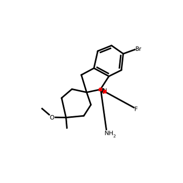 COC1(C)CCC2(CC1)Cc1ccc(Br)cc1C21C=C(F)C(N)=N1